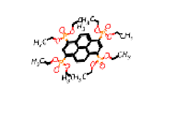 CCOP(=O)(OCC)c1cc(P(=O)(OCC)OCC)c2ccc3c(P(=O)(OCC)OCC)cc(P(=O)(OCC)OCC)c4ccc1c2c43